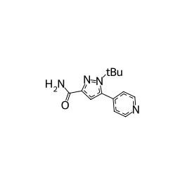 CC(C)(C)n1nc(C(N)=O)cc1-c1ccncc1